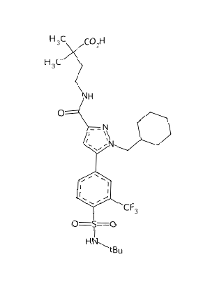 CC(C)(C)NS(=O)(=O)c1ccc(-c2cc(C(=O)NCCC(C)(C)C(=O)O)nn2CC2CCCCC2)cc1C(F)(F)F